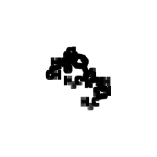 Cc1cnc(Nc2nc(C)c(-c3ccc(Cl)c(S(=O)(=O)NCCO)c3)s2)s1